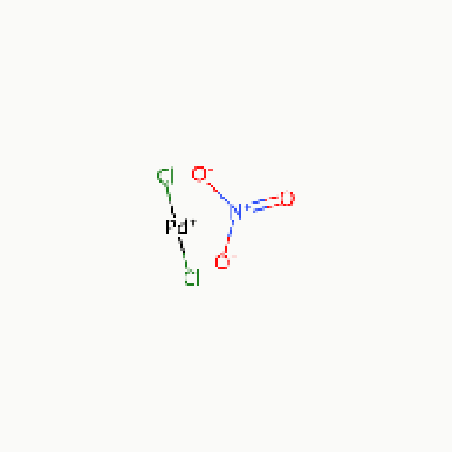 O=[N+]([O-])[O-].[Cl][Pd+][Cl]